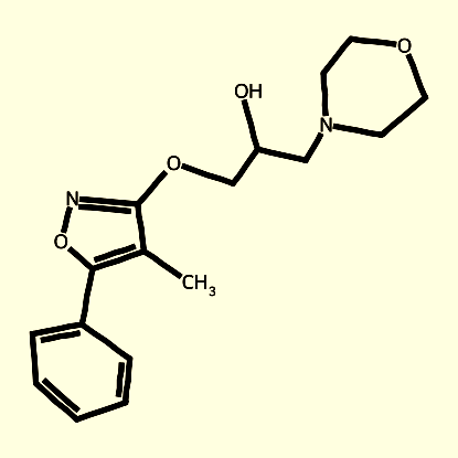 Cc1c(OCC(O)CN2CCOCC2)noc1-c1ccccc1